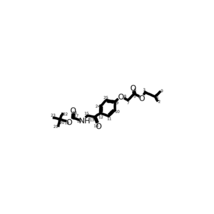 CC(C)COC(=O)COc1ccc(C(=O)CNC(=O)OC(C)(C)C)cc1